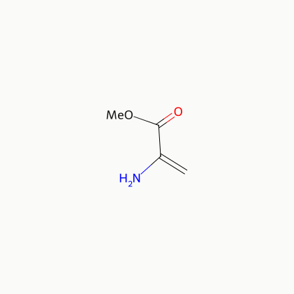 C=C(N)C(=O)OC